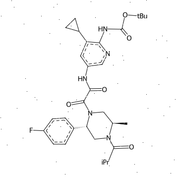 CC(C)C(=O)N1C[C@H](c2ccc(F)cc2)N(C(=O)C(=O)Nc2cnc(NC(=O)OC(C)(C)C)c(C3CC3)c2)C[C@H]1C